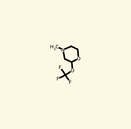 CN1[CH]COC(OC(F)(F)F)C1